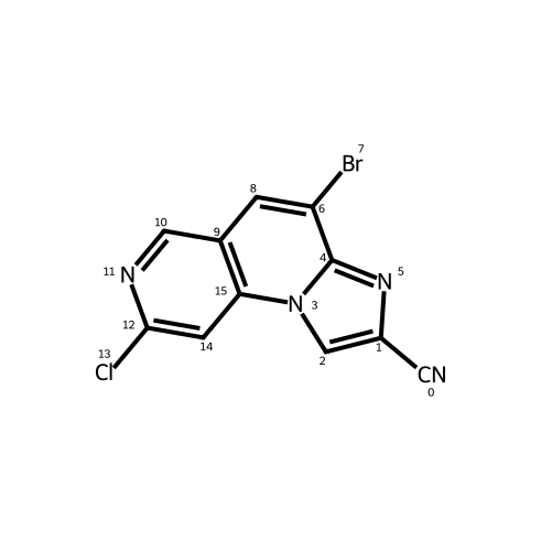 N#Cc1cn2c(n1)c(Br)cc1cnc(Cl)cc12